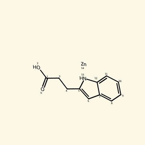 O=C(O)CCc1cc2ccccc2[nH]1.[Zn]